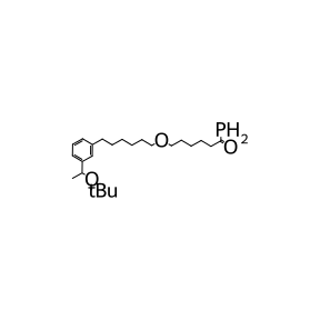 CC(OC(C)(C)C)c1cccc(CCCCCCOCCCCCC(=O)P)c1